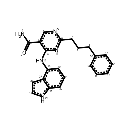 NC(=O)c1cnc(CCCc2ccccc2)nc1Nc1cccc2[nH]ccc12